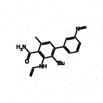 C=CNc1c(C(N)=O)c(C)cc(-c2cccc(N=C)c2)c1C(C)CC